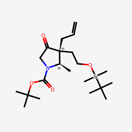 C=CC[C@]1(CCO[Si](C)(C)C(C)(C)C)C(=O)CN(C(=O)OC(C)(C)C)[C@@H]1C